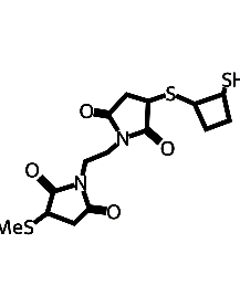 CSC1CC(=O)N(CCN2C(=O)CC(SC3CCC3S)C2=O)C1=O